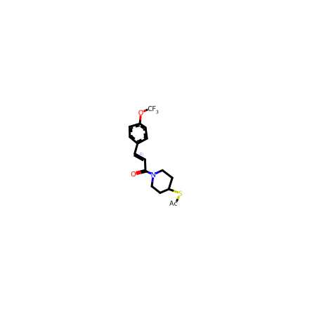 CC(=O)SC1CCN(C(=O)/C=C/c2ccc(OC(F)(F)F)cc2)CC1